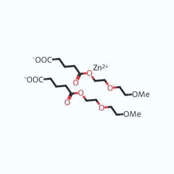 COCCOCCOC(=O)CCCC(=O)[O-].COCCOCCOC(=O)CCCC(=O)[O-].[Zn+2]